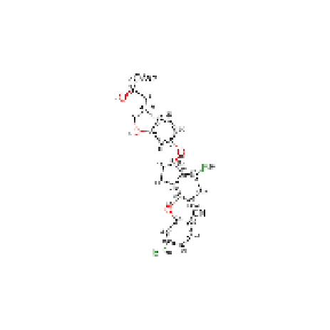 COC(=O)C[C@@H]1COc2cc(O[C@@H]3CCc4c(Oc5cc(Br)ccc5C#N)ccc(F)c43)ccc21